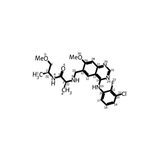 COC[C@H](C)NC(=O)[C@H](C)NCc1cc2c(Nc3cccc(Cl)c3F)ncnc2cc1OC